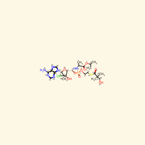 CC(C)OC(=O)[C@H](C)N[P@@](=O)(OCCSC(=O)C(C)(C)CO)OC[C@H]1O[C@@H](n2cnc3c(N)ncnc32)[C@](C)(Cl)[C@@H]1O